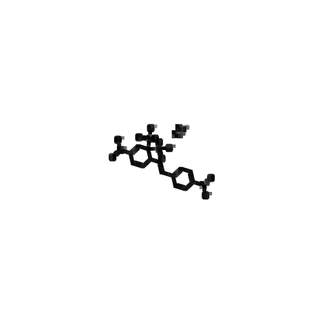 O=[N+]([O-])C1=CC(S(=O)(=O)[O-])(S(=O)(=O)[O-])C(C=Cc2ccc([N+](=O)[O-])cc2)C=C1.[Na+].[Na+]